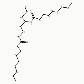 CCCCCCCCC(=O)OCCC(CCC)OC(=O)CCCCCCCC